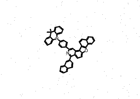 CC1(C)c2ccccc2N(c2ccc(-c3cc4c(ccc5oc6c7ccccc7ccc6c54)c(-c4ccc5ccccc5c4)n3)cc2)c2ccccc21